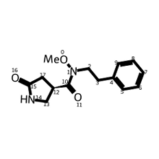 CON(CCc1ccccc1)C(=O)[C@H]1CNC(=O)C1